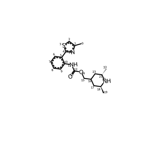 Cc1csc(-c2ccccc2NC(=O)OCC2C[C@H](C)N[C@@H](C)C2)n1